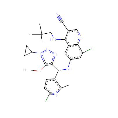 COc1c([C@@H](Nc2cc(Cl)c3ncc(C#N)c(NCC(C)(C)C)c3c2)c2ccc(F)nc2C)nnn1C1CC1